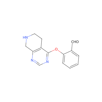 O=Cc1ccccc1Oc1ncnc2c1CCNC2